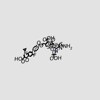 CC(C)(O/N=C(\C(=O)N[C@@H]1C(=O)N2C(C(=O)O)=C(COC(=O)N3CCN(c4cc5c(cc4F)c(=O)c(C(=O)O)cn5C4CC4)CC3)CS[C@H]12)c1csc(N)n1)C(=O)O